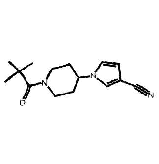 CC(C)(C)C(=O)N1CCC(n2ccc(C#N)c2)CC1